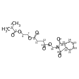 CC(C)C(=O)OCCOC(=O)CCC(=O)OCN1C(=O)c2ccccc2C1=O